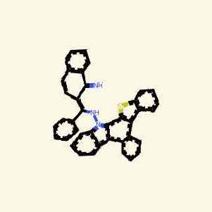 N=C1/C(=C(\Nn2c3ccccc3c3c4ccccc4c4c5ccccc5sc4c32)c2ccccc2)C=Cc2ccccc21